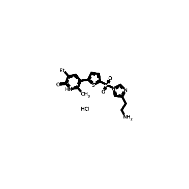 CCc1cc(-c2ccc(S(=O)(=O)n3cnc(CCN)c3)s2)c(C)[nH]c1=O.Cl